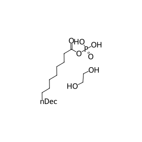 CCCCCCCCCCCCCCCCCC(=O)OP(=O)(O)O.OCCO